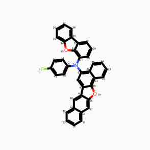 Fc1ccc(N(c2cc3c4cc5ccccc5cc4oc3c3ccccc23)c2cccc3c2oc2ccccc23)cc1